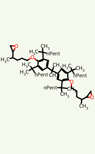 CCCCCC(C)(C)c1cc(C(C)(C)c2cc(C(C)(C)CCCCC)c(OCCCC(C)C3CO3)c(C(C)(C)CCCCC)c2)cc(C(C)(C)CCCCC)c1OCCCC(C)C1CO1